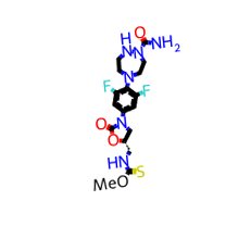 COC(=S)NC[C@H]1CN(c2cc(F)c(N3CCNN(C(N)=O)CC3)c(F)c2)C(=O)O1